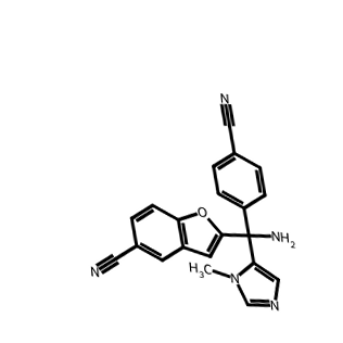 Cn1cncc1C(N)(c1ccc(C#N)cc1)c1cc2cc(C#N)ccc2o1